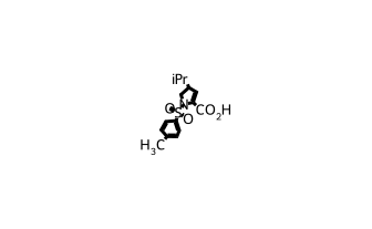 Cc1ccc(S(=O)(=O)N2CC(C(C)C)C=C2C(=O)O)cc1